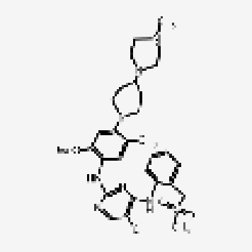 COc1cc(N2CCC(N3CCN(C)CC3)CC2)c(C)cc1Nc1ncc(Cl)c(Nc2ccccc2CS(C)(=O)=O)n1